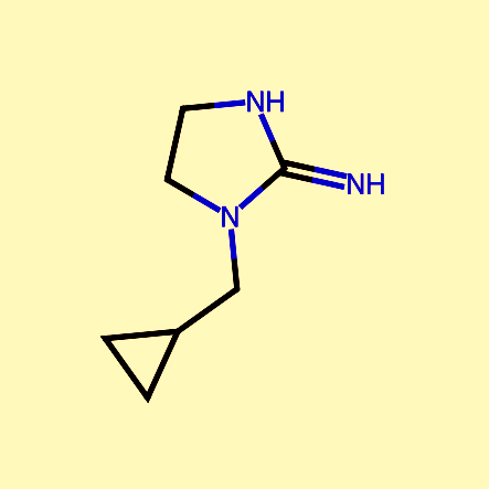 N=C1NCCN1CC1CC1